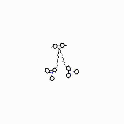 Cc1ccc2c(c1)C(CCCCCCCCc1ccc3c(c1)c1ccccc1n3-c1ccccc1)(CCCCCCCCc1ccc3c(c1)c1ccccc1n3-c1ccccc1)c1cc(C)ccc1-2